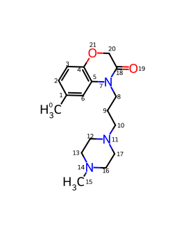 Cc1ccc2c(c1)N(CCCN1CCN(C)CC1)C(=O)CO2